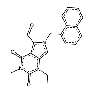 CCn1c(=O)n(C)c(=O)c2c(C=O)n(Cc3cccc4ccccc34)cc21